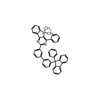 C[Si]1(C)c2ccccc2-c2nc(-c3cccc(-c4cccc(C5(c6ccccc6)c6ccccc6-c6ccccc65)c4)c3)nc(-c3ccccc3)c21